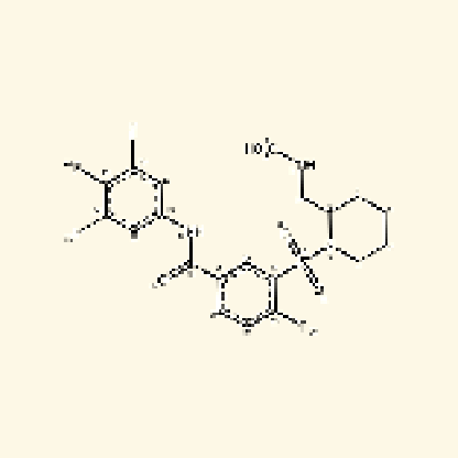 O=C(O)NCC1CCCCN1S(=O)(=O)c1cc(C(=O)Nc2cc(F)c(F)c(F)c2)ccc1F